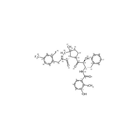 Cc1c(O)cccc1C(=O)N[C@@H](Cc1ccccc1)[C@H](O)C(=O)N1CSC(C)(C)[C@H]1C(=O)NCc1ccc(C(F)(F)F)cc1F